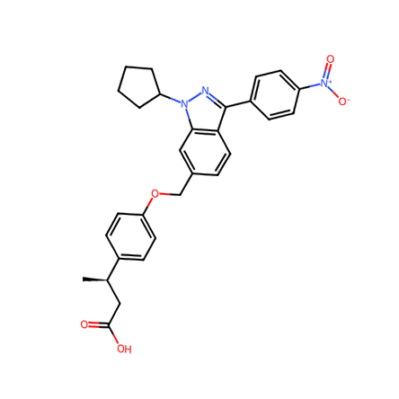 C[C@H](CC(=O)O)c1ccc(OCc2ccc3c(-c4ccc([N+](=O)[O-])cc4)nn(C4CCCC4)c3c2)cc1